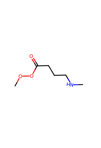 CNCCCC(=O)OOC